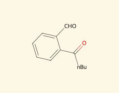 CCCCC(=O)c1ccccc1C=O